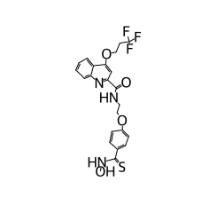 O=C(NCCOc1ccc(C(=S)NO)cc1)c1cc(OCCC(F)(F)F)c2ccccc2n1